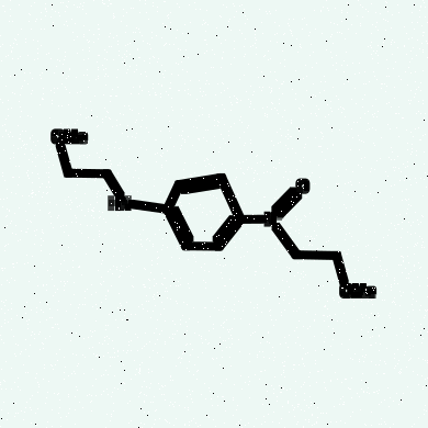 COCCNc1ccc([N+](=O)CCOC)cc1